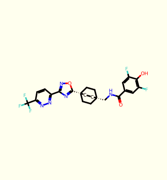 O=C(NC[C@]12CC[C@](c3nc(-c4ccc(C(F)(F)F)nn4)no3)(CC1)CC2)c1cc(F)c(O)c(F)c1